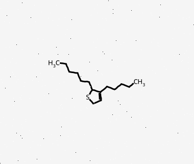 CCCCCCC1SCC=C1CCCCC